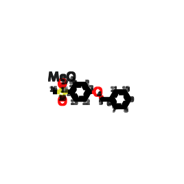 COc1cc(OCc2ccccc2)ccc1S(C)(=O)=O